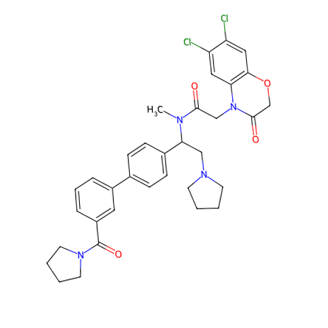 CN(C(=O)CN1C(=O)COc2cc(Cl)c(Cl)cc21)C(CN1CCCC1)c1ccc(-c2cccc(C(=O)N3CCCC3)c2)cc1